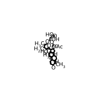 C=C(C(=O)[C@H](OC(C)=O)C1[C@@H](OC(C)=O)C[C@@]2(C)[C@@H]3CC[C@H]4[C@H](C)C(=O)C=C[C@@]45C[C@@]35CC[C@]12C)[C@@H](C)COC(=O)CP(=O)(O)O